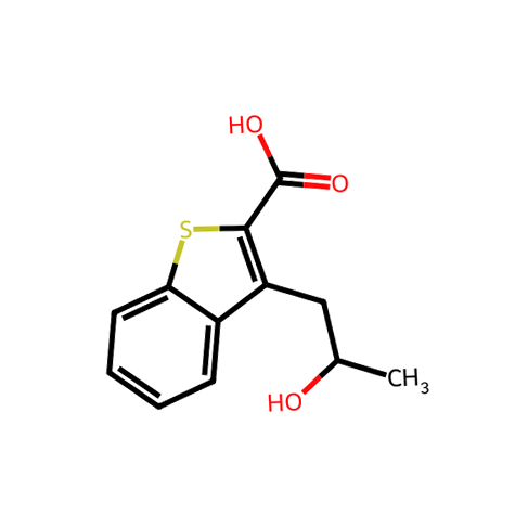 CC(O)Cc1c(C(=O)O)sc2ccccc12